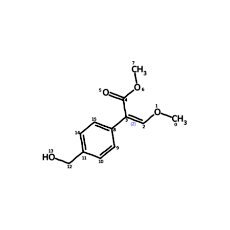 CO/C=C(\C(=O)OC)c1ccc(CO)cc1